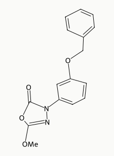 COc1nn(-c2cccc(OCc3ccccc3)c2)c(=O)o1